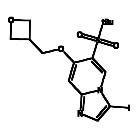 CC(C)(C)S(=O)(=O)c1cn2c(I)cnc2cc1OCC1COC1